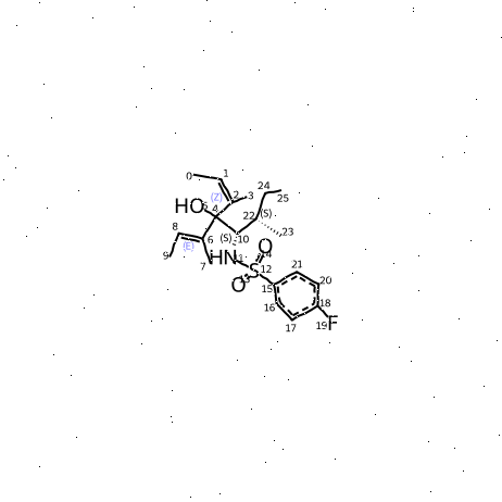 C/C=C(/C)C(O)(/C(C)=C/C)[C@@H](NS(=O)(=O)c1ccc(F)cc1)[C@@H](C)CC